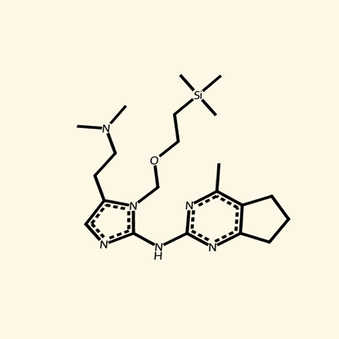 Cc1nc(Nc2ncc(CCN(C)C)n2COCC[Si](C)(C)C)nc2c1CCC2